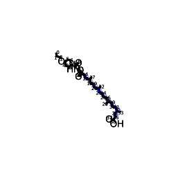 CCCOC1CCN(C(=O)NOC(=O)/C=C/C(C)=C/C=C/C(C)=C/C=C/C=C(C)/C=C/C=C(C)\C=C\C(=O)O)CC1